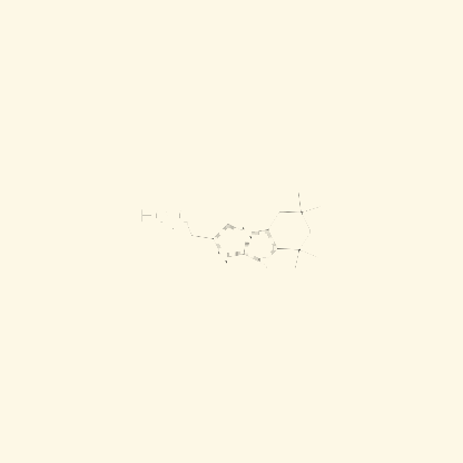 CC1(C)Cc2c(sc3nc(CC(=O)O)cn23)C(C)(C)C1